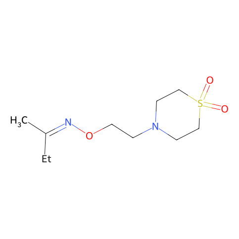 CC/C(C)=N\OCCN1CCS(=O)(=O)CC1